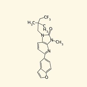 Cn1c(=O)n(CC(C)(C)CC(F)(F)F)c2ccc(-c3ccc4occc4c3)nc21